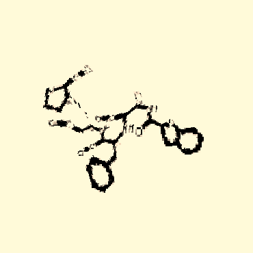 CC(C)[C@H](NC(=O)c1cc2ccccc2o1)C(=C=O)N[C@@H](Cc1ccccc1)C(=C=O)N[C@H](C=C=O)C[C@@H]1CCNC1=C=O